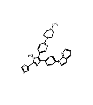 CN1CCN(c2ccc(-c3c(-c4ccc(-n5ccc6cccnc65)cc4)nc(-c4cncs4)n3O)cn2)CC1